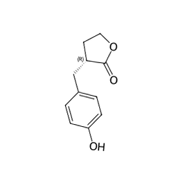 O=C1OCC[C@H]1Cc1ccc(O)cc1